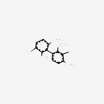 COc1ccc(-c2c(OC)ccc(Br)c2OC)c(OC)c1C